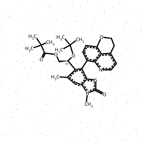 Cc1cc2c(sc(=O)n2C)c(-c2ccc3c4c(ccnc24)CCO3)c1[C@@H](COC(=O)C(C)(C)C)OC(C)(C)C